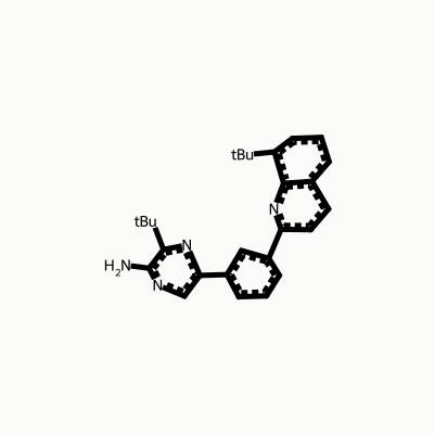 CC(C)(C)c1nc(-c2cccc(-c3ccc4cccc(C(C)(C)C)c4n3)c2)cnc1N